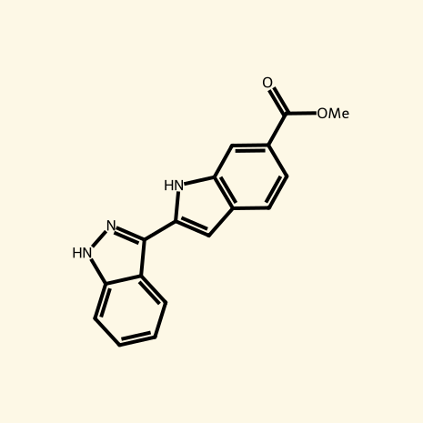 COC(=O)c1ccc2cc(-c3n[nH]c4ccccc34)[nH]c2c1